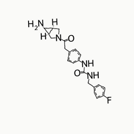 N[C@@H]1[C@H]2CN(C(=O)Cc3ccc(NC(=O)NCc4ccc(F)cc4)cc3)C[C@@H]12